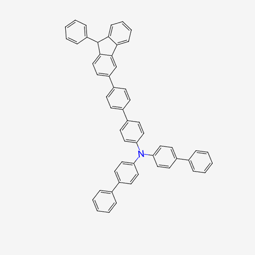 c1ccc(-c2ccc(N(c3ccc(-c4ccccc4)cc3)c3ccc(-c4ccc(-c5ccc6c(c5)-c5ccccc5C6c5ccccc5)cc4)cc3)cc2)cc1